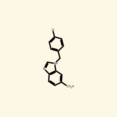 O=C(O)c1ccc2c(c1)[SH](Cc1ccc(Cl)cc1)C=N2